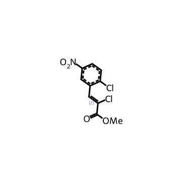 COC(=O)/C(Cl)=C/c1cc([N+](=O)[O-])ccc1Cl